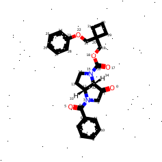 O=C1CN(C(=O)c2ccccc2)[C@@H]2CCN(C(=O)OCC3(COc4ccccc4)CCC3)[C@H]12